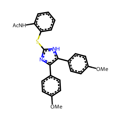 COc1ccc(-c2nc(Sc3ccccc3NC(C)=O)[nH]c2-c2ccc(OC)cc2)cc1